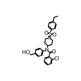 CCc1ccc(S(=O)(=O)N2CCC(N(C(=O)c3ccccc3Cl)c3ccc(CO)cc3)CC2)cc1